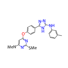 CNc1cc(Oc2ccc(-c3nnc(Nc4cccc(C)c4)[nH]3)cc2)nc(SC)n1